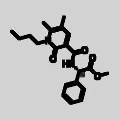 CCCCn1c(C)c(C)cc(C(=O)N[C@H](C(=O)OC)c2ccccc2)c1=O